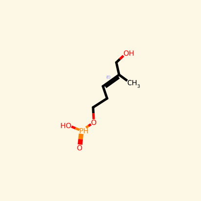 C/C(=C\CCO[PH](=O)O)CO